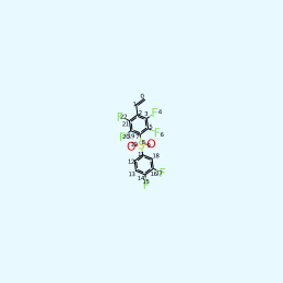 C=Cc1c(F)c(F)c(S(=O)(=O)c2ccc(F)c(F)c2)c(F)c1F